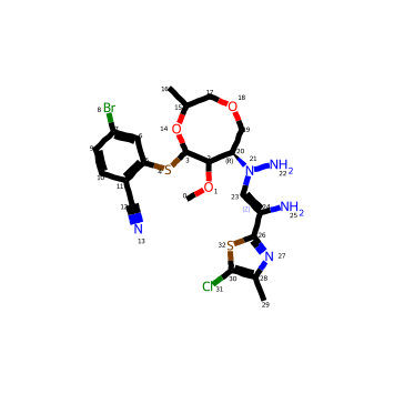 COC1C(Sc2cc(Br)ccc2C#N)OC(C)COC[C@H]1N(N)/C=C(\N)c1nc(C)c(Cl)s1